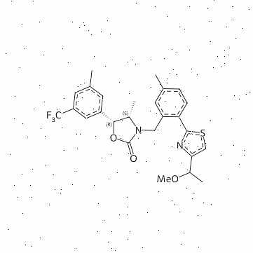 COC(C)c1csc(-c2ccc(C)cc2CN2C(=O)O[C@H](c3cc(C)cc(C(F)(F)F)c3)[C@@H]2C)n1